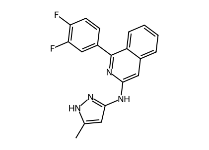 Cc1cc(Nc2cc3ccccc3c(-c3ccc(F)c(F)c3)n2)n[nH]1